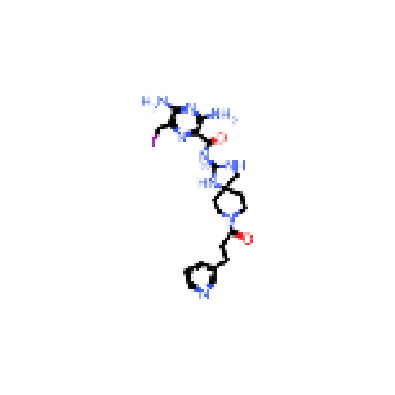 Nc1nc(N)c(C(=O)/N=C2\NCC3(CCN(C(=O)CCc4cccnc4)CC3)N2)nc1CI